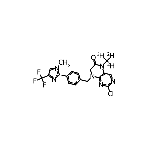 [2H]C([2H])([2H])N1C(=O)CN(Cc2ccc(-c3nc(C(F)(F)F)cn3C)cc2)c2nc(Cl)ncc21